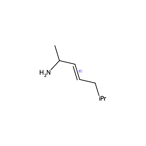 CC(N)/C=C/CC(C)C